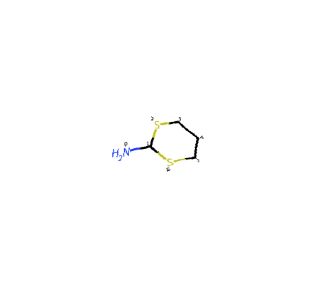 NC1SCCCS1